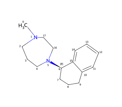 CN1CCCN([C@@H]2CCCc3ccccc32)CC1